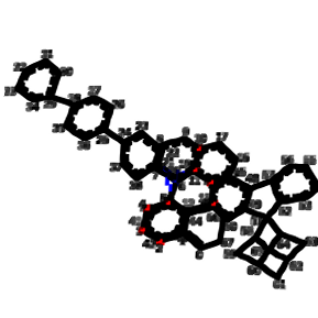 C1=c2cccc(-c3ccccc3)c2=C(c2ccccc2N(c2ccc(-c3ccc(-c4ccccc4)cc3)cc2)c2ccccc2-c2ccc3c(c2)C2(c4ccccc4-3)C3CC4CC5CC2C453)CC1